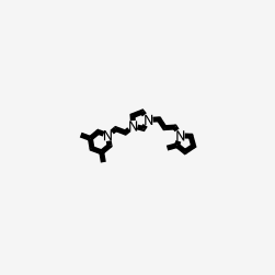 CC1CC(C)CN(CCN2CCN(CCCN3CCCC3C)C2)C1